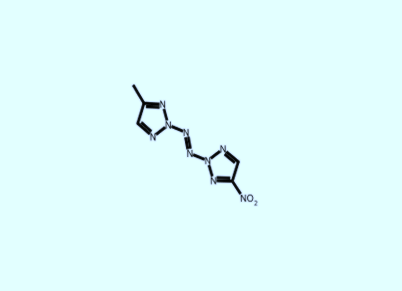 Cc1cnn(/N=N/n2ncc([N+](=O)[O-])n2)n1